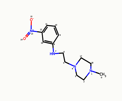 CN1CCN(CCNc2cccc([N+](=O)[O-])c2)CC1